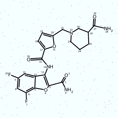 NC(=O)c1oc2c(F)cc(F)cc2c1NC(=O)c1ccc(CN2CCCC(C(N)=O)C2)o1